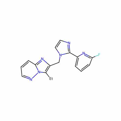 CCc1c(Cn2ccnc2-c2cccc(F)n2)nc2cccnn12